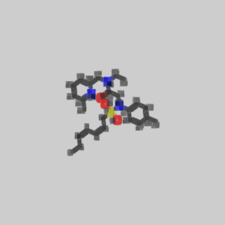 CC/C=C\C=C/CS(=O)(=O)N(CC(=O)N(CC)Cc1cccc(C)n1)c1ccc(C)cc1